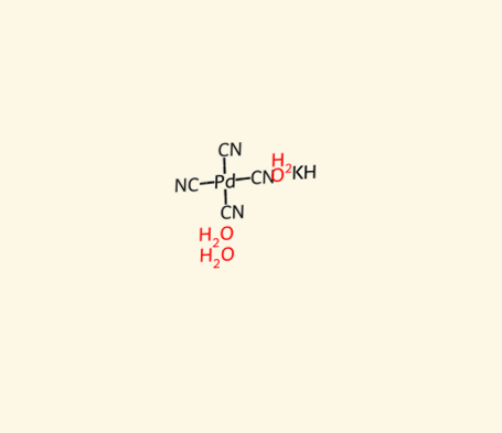 N#[C][Pd]([C]#N)([C]#N)[C]#N.O.O.O.[KH]